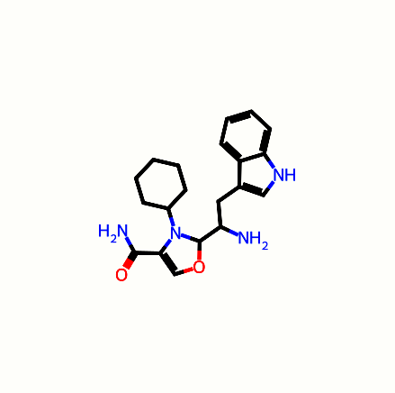 NC(=O)C1=COC(C(N)Cc2c[nH]c3ccccc23)N1C1CCCCC1